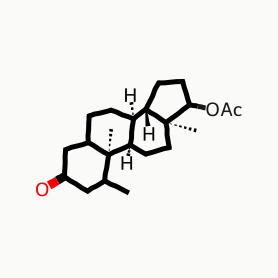 CC(=O)OC1CC[C@H]2[C@@H]3CCC4CC(=O)CC(C)[C@]4(C)[C@@H]3CC[C@]12C